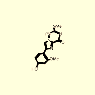 COc1cc(O)ccc1-c1cn2[nH]c(SC)nc(=O)c2n1